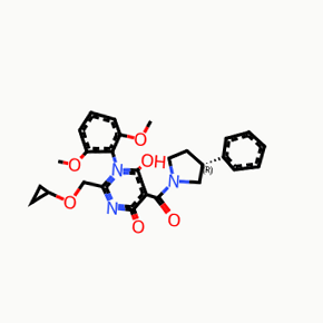 COc1cccc(OC)c1-n1c(COC2CC2)nc(=O)c(C(=O)N2CC[C@H](c3ccccc3)C2)c1O